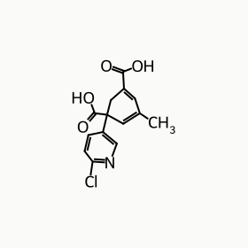 CC1=CC(C(=O)O)(c2ccc(Cl)nc2)CC(C(=O)O)=C1